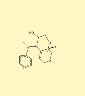 C[C@@H](c1ccccc1)N1C2=CCOC[C@H]2OCC1O